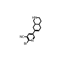 N#Cc1cc(C2=CCC3CCNCC3C2)cnc1Br